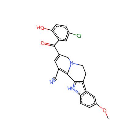 COc1ccc2[nH]c3c(c2c1)CCN1CC(C(=O)c2cc(Cl)ccc2O)=CC(C#N)=C31